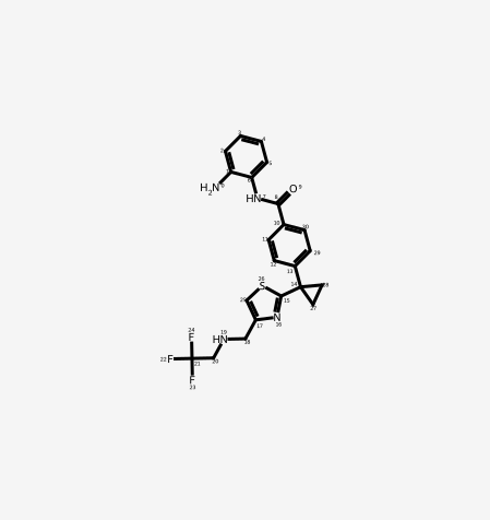 Nc1ccccc1NC(=O)c1ccc(C2(c3nc(CNCC(F)(F)F)cs3)CC2)cc1